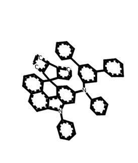 c1ccc(-c2cc(-c3ccccc3)cc(N(c3ccccc3)c3cc4c5c6c7c(cccc7ccc6n(-c6ccccc6)c5c3)C43c4ccccc4-c4ccccc43)c2)cc1